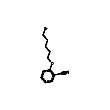 N#Cc1ccccc1OCCCCCBr